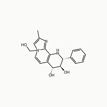 CC1=C[N+]2(CO)C=CC3=C(N[C@H](c4ccccc4)[C@@H](O)[C@@H]3O)C2=N1